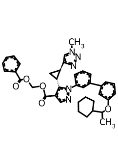 CC(Oc1cccc(-c2cccc(-n3ncc(C(=O)OCOC(=O)c4ccccc4)c3[C@@H]3C[C@H]3c3cn(C)nn3)c2)c1)C1CCCCC1